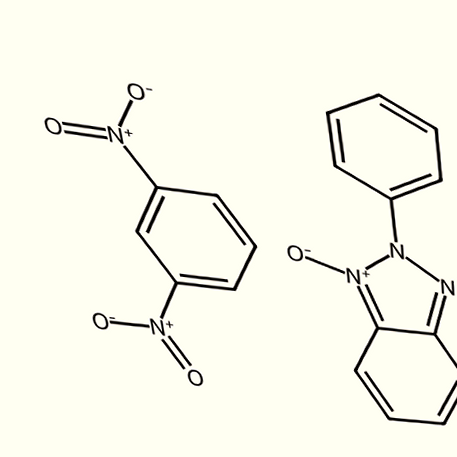 O=[N+]([O-])c1cccc([N+](=O)[O-])c1.[O-][n+]1c2ccccc2nn1-c1ccccc1